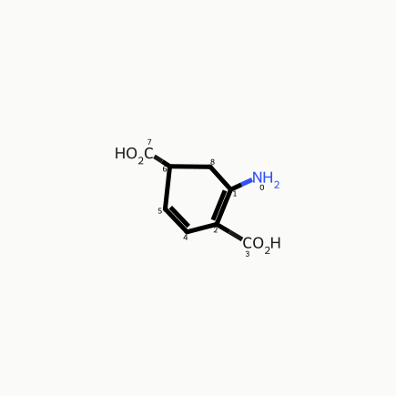 NC1=C(C(=O)O)C=CC(C(=O)O)C1